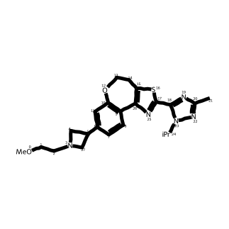 COCCN1CC(c2ccc3c(c2)OCCc2sc(-c4nc(C)nn4C(C)C)nc2-3)C1